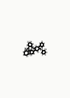 c1ccc(-n2c3ccccc3c3cc4c(cc32)c2ccccc2n4-c2ccccc2-c2nc3ccccc3s2)cc1